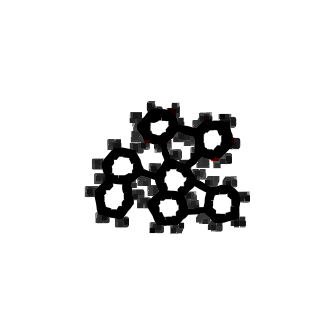 c1ccc(-c2ccccc2-c2c(-c3ccccc3-c3ccccc3)c3c4c(cccc4c2-c2cccc4ccccc24)-c2ccccc2-3)cc1